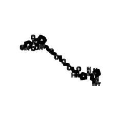 CCCc1cc(N[C@@H]2CCC(NC(=O)CCOCCOCCOCCOCCNc3cccc4c3C(O)N(C3CCC(=O)NC3=O)C4=O)C2)n2nccc2n1